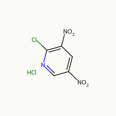 Cl.O=[N+]([O-])c1cnc(Cl)c([N+](=O)[O-])c1